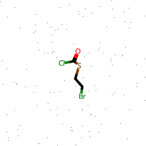 O=C(Cl)SCCBr